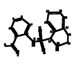 CC(=O)c1ccccc1NS(=O)(=O)C1NCCc2ccccc21